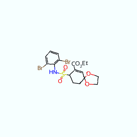 CCOC(=O)C1=CC2(CCC1S(=O)(=O)Nc1c(Br)cccc1Br)OCCO2